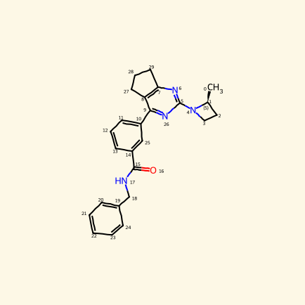 C[C@H]1CCN1c1nc2c(c(-c3cccc(C(=O)NCc4ccccc4)c3)n1)CCC2